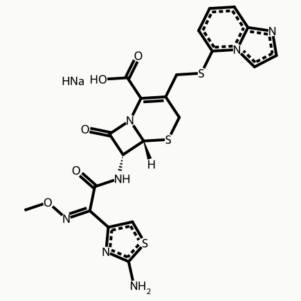 CO/N=C(\C(=O)N[C@@H]1C(=O)N2C(C(=O)O)=C(CSc3cccc4nccn34)CS[C@H]12)c1csc(N)n1.[NaH]